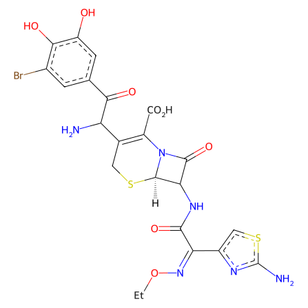 CCO/N=C(\C(=O)NC1C(=O)N2C(C(=O)O)=C(C(N)C(=O)c3cc(O)c(O)c(Br)c3)CS[C@H]12)c1csc(N)n1